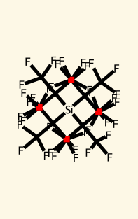 FC(F)(F)C(C(F)(F)F)(C(F)(F)F)[Si](C(C(F)(F)F)(C(F)(F)F)C(F)(F)F)(C(C(F)(F)F)(C(F)(F)F)C(F)(F)F)C(C(F)(F)F)(C(F)(F)F)C(F)(F)F